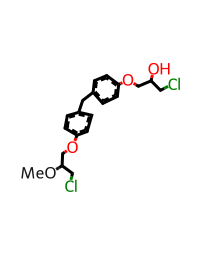 COC(CCl)COc1ccc(Cc2ccc(OCC(O)CCl)cc2)cc1